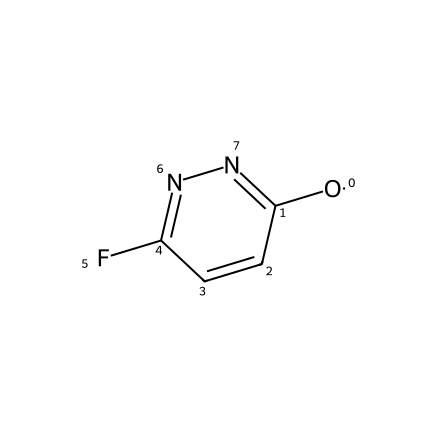 [O]c1ccc(F)nn1